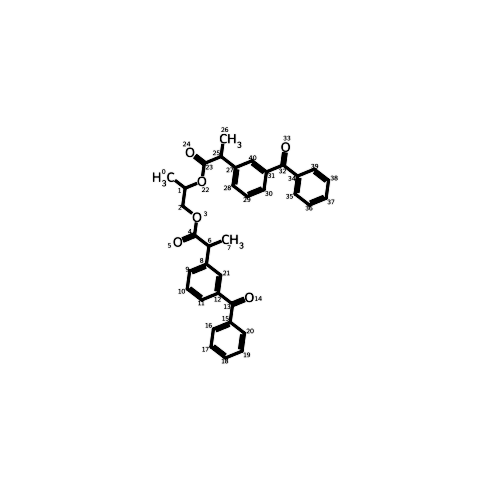 CC(COC(=O)C(C)c1cccc(C(=O)c2ccccc2)c1)OC(=O)C(C)c1cccc(C(=O)c2ccccc2)c1